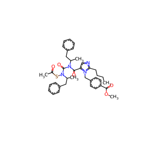 CCCCc1ncc(C(=O)N(C(=O)N(SC(C)=O)C(C)Cc2ccccc2)C(C)Cc2ccccc2)n1Cc1ccc(C(=O)OC)cc1